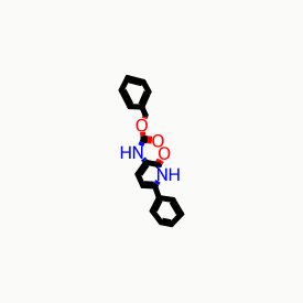 O=C(Nc1ccc(-c2ccccc2)[nH]c1=O)OCc1ccccc1